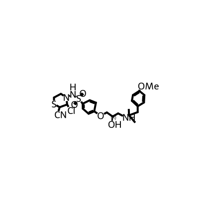 COc1ccc(CC(C)(C)NC[C@@H](O)COc2ccc(S(=O)(=O)NN3CCSC(C#N)C3Cl)cc2)cc1